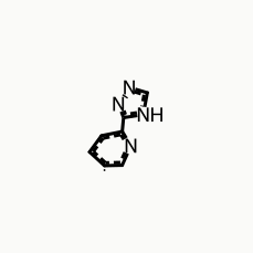 [c]1ccc(-c2nnc[nH]2)nc1